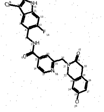 O=C(NCc1cc2c(Cl)c[nH]c2cc1F)c1ccnc(CN2Cc3cc(Cl)ccc3CC2=O)c1